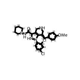 COc1ccc(/C=C2\CNCC3=C2N(c2ccc(Cl)cc2Cl)NC3C(=O)NN2CCCCC2)cc1